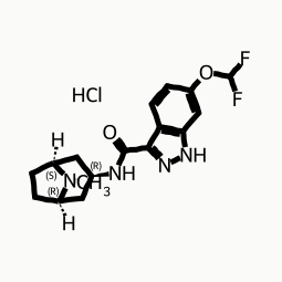 CN1[C@@H]2CC[C@H]1C[C@@H](NC(=O)c1n[nH]c3cc(OC(F)F)ccc13)C2.Cl